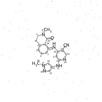 CN1CCc2cccc(Nc3cc(Nc4cnn(C)c4)ncc3C#N)c2C1=O